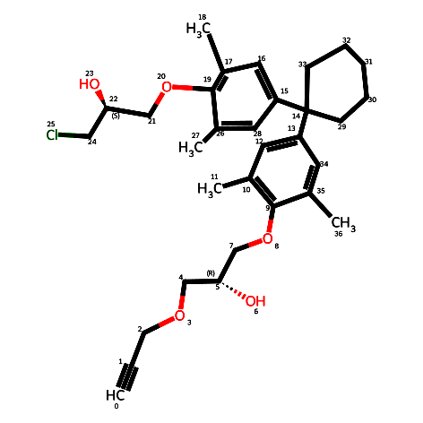 C#CCOC[C@@H](O)COc1c(C)cc(C2(c3cc(C)c(OC[C@H](O)CCl)c(C)c3)CCCCC2)cc1C